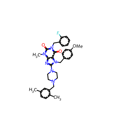 COc1ccc(Cn2c(N3CCN(Cc4cc(C)ccc4C)CC3)nc3c2c(=O)n(Cc2ccccc2F)c(=O)n3C)cc1